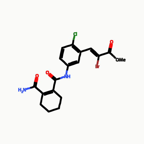 COC(=O)C(Br)=Cc1cc(NC(=O)C2=C(C(N)=O)CCCC2)ccc1Cl